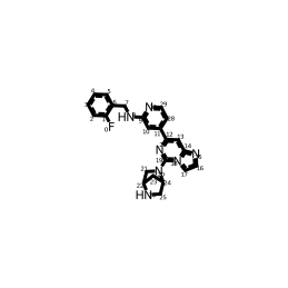 Fc1ccccc1CNc1cc(-c2cc3nccn3c(N3CC4CC3CN4)n2)ccn1